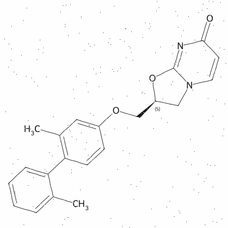 Cc1ccccc1-c1ccc(OC[C@@H]2Cn3ccc(=O)nc3O2)cc1C